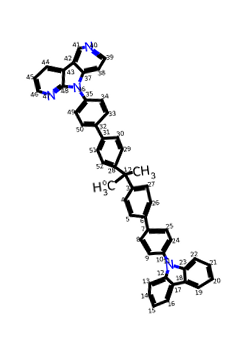 CC(C)(c1ccc(-c2ccc(-n3c4ccccc4c4ccccc43)cc2)cc1)c1ccc(-c2ccc(-n3c4ccncc4c4cccnc43)cc2)cc1